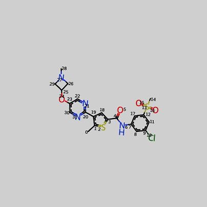 Cc1sc(C(=O)Nc2cc(Cl)cc(S(C)(=O)=O)c2)cc1-c1ncc(OC2CN(C)C2)cn1